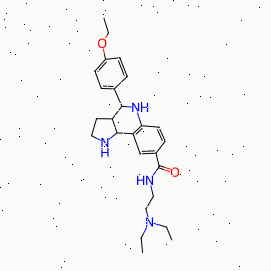 CCOc1ccc(C2Nc3ccc(C(=O)NCCN(CC)CC)cc3C3NCCC23)cc1